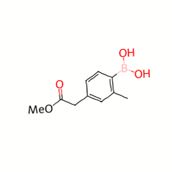 COC(=O)Cc1ccc(B(O)O)c(C)c1